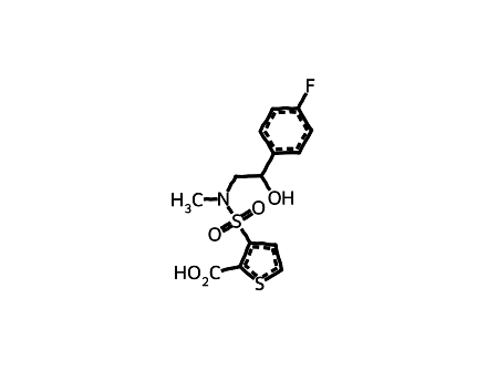 CN(CC(O)c1ccc(F)cc1)S(=O)(=O)c1ccsc1C(=O)O